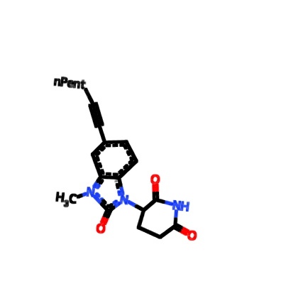 CCCCCC#Cc1ccc2c(c1)n(C)c(=O)n2C1CCC(=O)NC1=O